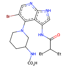 CCC(CC)C(=O)Nc1c[nH]c2ncc(Br)c(N3CCCC(NC(=O)O)C3)c12